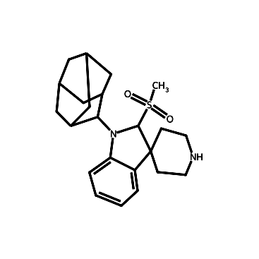 CS(=O)(=O)C1N(C2C3CC4CC(C3)CC2C4)c2ccccc2C12CCNCC2